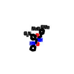 COc1ccc(CC(=O)NC(C(=O)NC2CCCCC2)c2ccc([N+](=O)[O-])cc2)cc1OC